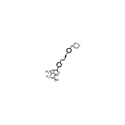 CC(N)[C@H](NC(=O)c1ccc(/C=C/C#Cc2ccc(CN3CCOCC3)cc2)cc1)C(=O)NO